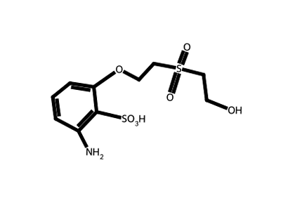 Nc1cccc(OCCS(=O)(=O)CCO)c1S(=O)(=O)O